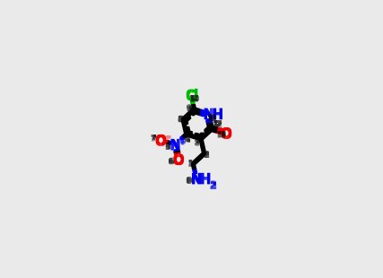 NCCc1c([N+](=O)[O-])cc(Cl)[nH]c1=O